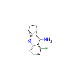 Nc1c2c(nc3cccc(F)c13)C1CCC2C1